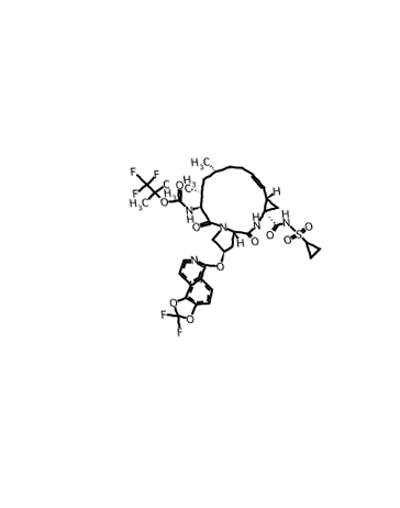 C[C@@H]1CC/C=C\[C@@H]2C[C@@]2(C(=O)NS(=O)(=O)C2CC2)NC(=O)[C@@H]2C[C@@H](Oc3nccc4c5c(ccc34)OC(F)(F)O5)CN2C(=O)[C@@H](NC(=O)OC(C)(C)C(F)(F)F)[C@H](C)C1